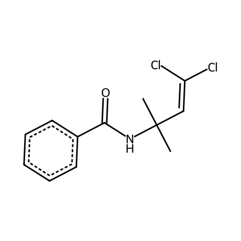 CC(C)(C=C(Cl)Cl)NC(=O)c1ccccc1